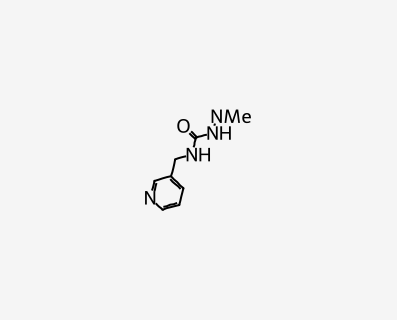 CNNC(=O)NCc1cccnc1